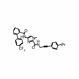 CC(C)c1ccc(C#CCNC(=O)c2nc(NC(=O)c3ccccc3-c3ccc(C(F)(F)F)cc3)cn2C)cc1